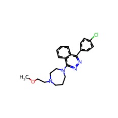 COCCN1CCCN(c2nnc(-c3ccc(Cl)cc3)c3ccccc23)CC1